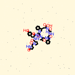 CC1NC(=O)C(Cc2ccccc2)NC(=O)C(C(C)C)NC(=O)C(CNC(=O)C(Cc2ccc(O)cc2)NC(=O)C2CCCN2C(=O)C2CCC(=O)N2)n2cc(c3ccccc32)CC(C(=O)O)NC1=O